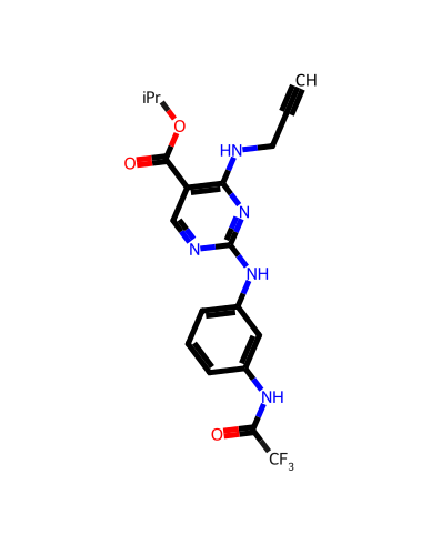 C#CCNc1nc(Nc2cccc(NC(=O)C(F)(F)F)c2)ncc1C(=O)OC(C)C